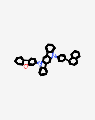 c1ccc2c(-c3ccc(-n4c5ccccc5c5cc6c(cc54)c4ccccc4n6-c4ccc5c(c4)oc4ccccc45)cc3)cccc2c1